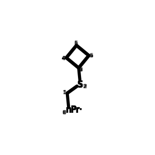 CC[CH]CSC1CCC1